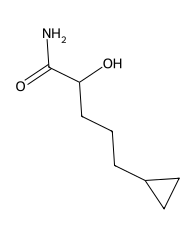 NC(=O)C(O)CCCC1CC1